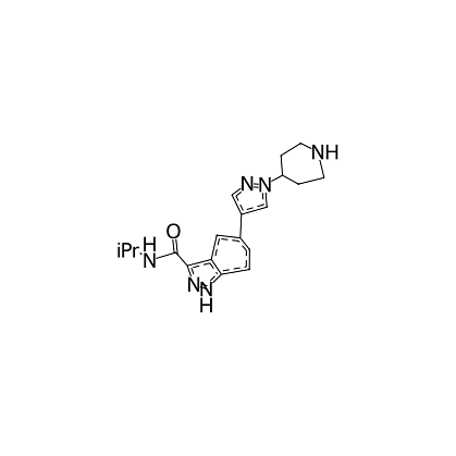 CC(C)NC(=O)c1n[nH]c2ccc(-c3cnn(C4CCNCC4)c3)cc12